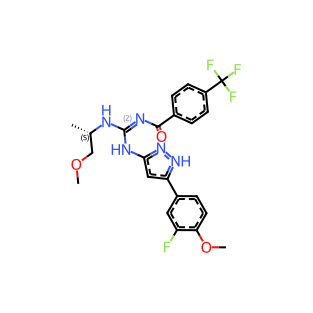 COC[C@H](C)N/C(=N/C(=O)c1ccc(C(F)(F)F)cc1)Nc1cc(-c2ccc(OC)c(F)c2)[nH]n1